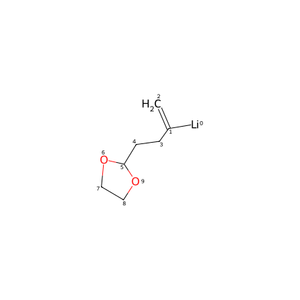 [Li][C](=C)CCC1OCCO1